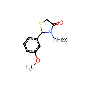 CCCCCCN1C(=O)CSC1c1cccc(OC(F)(F)F)c1